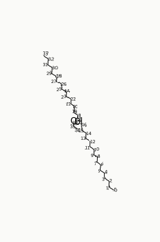 CCCCCCCCCCCCCCCCCOCCCCCCCCCCCCCCCC.CCO